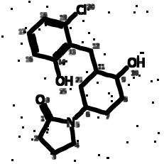 O=C1CCCN1C1CCC(O)C(Cc2c(O)cccc2Cl)C1